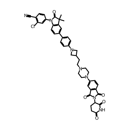 CC1(C)C(=O)N(c2ccc(C#N)c(Cl)c2)c2ccc(-c3ccc(N4CC(CCN5CCN(c6ccc7c(c6)C(=O)N(C6CCC(=O)NC6=O)C7=O)CC5)C4)cc3)cc21